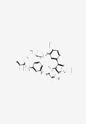 C=CC(=O)Nc1cccc(Oc2cnc3[nH]cc(-c4ccc(F)c(OCCOC)c4)c3n2)c1